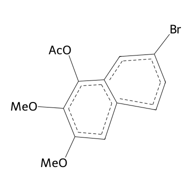 COc1cc2ccc(Br)cc2c(OC(C)=O)c1OC